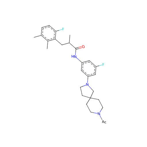 CC(=O)N1CCC2(CC1)CCN(c1cc(F)cc(NC(=O)C(C)Cc3c(F)ccc(C)c3C)c1)C2